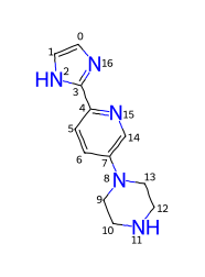 c1c[nH]c(-c2ccc(N3CCNCC3)cn2)n1